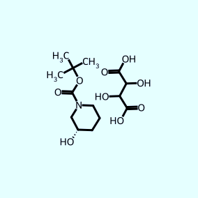 CC(C)(C)OC(=O)N1CCC[C@H](O)C1.O=C(O)C(O)C(O)C(=O)O